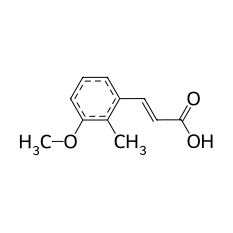 COc1cccc(/C=C/C(=O)O)c1C